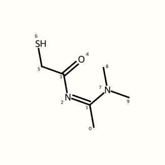 CC(=NC(=O)CS)N(C)C